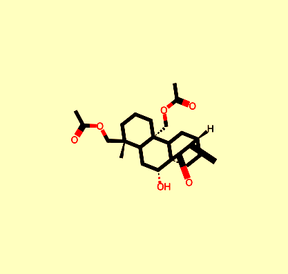 C=C1C(=O)[C@]23CC[C@H]1CC2[C@]1(COC(C)=O)CCC[C@@](C)(COC(C)=O)C1C[C@H]3O